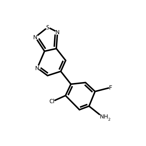 Nc1cc(Cl)c(-c2cnc3nsnc3c2)cc1F